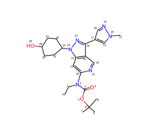 CCN(C(=O)OC(C)(C)C)c1cc2c(cn1)c(-c1cnn(C)c1)nn2C1CCC(O)CC1